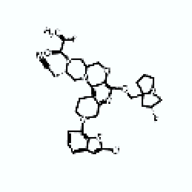 C=C(F)C(=O)N1CC2COc3c(OCC45CCCN4C[C@H](F)C5)nc4c(c3N2C[C@@H]1CC#N)CCN(c1cccc2cc(Cl)sc12)C4